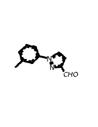 Cc1cccc(-n2ccc(C=O)n2)c1